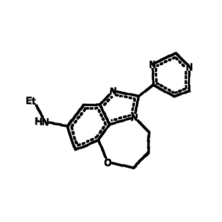 CCNc1cc2c3c(c1)nc(-c1ccncn1)n3CCCO2